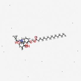 C=C1CC[C@@]2(O)C3CC4C=CC(OCOC(=O)CCCCCCCCCCCCCCC)=C5O[C@]1(O)[C@]2(CCN3CC1CC1)C54